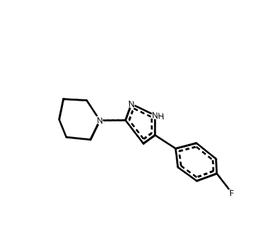 Fc1ccc(-c2cc(N3CCCCC3)n[nH]2)cc1